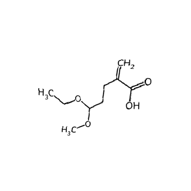 C=C(CCC(OC)OCC)C(=O)O